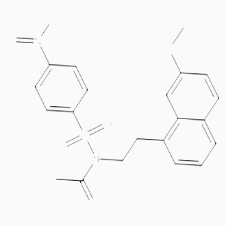 COc1ccc2cccc(CCN(C(C)=O)S(=O)(=O)c3ccc([N+](=O)[O-])cc3)c2c1